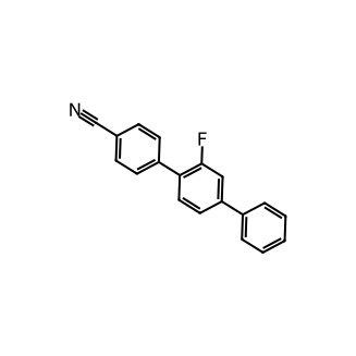 N#Cc1ccc(-c2ccc(-c3ccccc3)cc2F)cc1